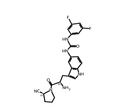 N#C[C@@H]1CCCN1C(=O)[C@H](N)Cc1c[nH]c2ccc(NC(=O)Nc3cc(F)cc(F)c3)cc12